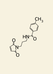 Cc1ccc(C(=O)NCCCN2C(=O)C=CC2=O)cc1